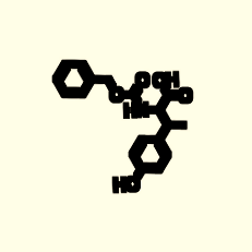 CC(c1ccc(O)cc1)C(NC(=O)OCc1ccccc1)C(=O)O